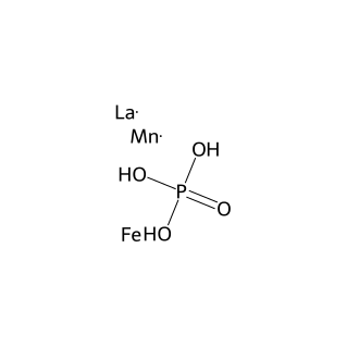 O=P(O)(O)O.[Fe].[La].[Mn]